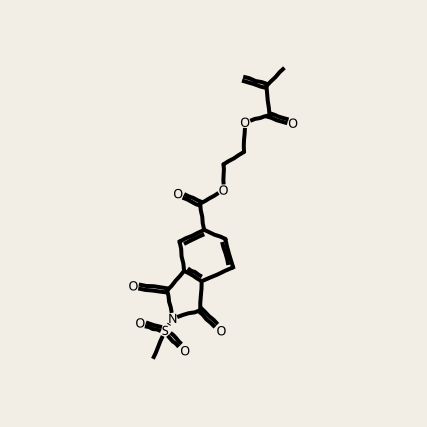 C=C(C)C(=O)OCCOC(=O)c1ccc2c(c1)C(=O)N(S(C)(=O)=O)C2=O